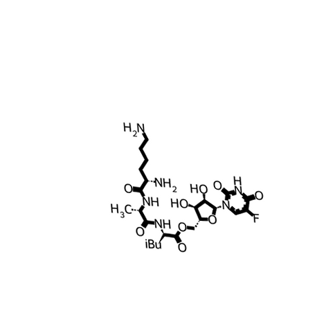 CC[C@H](C)[C@H](NC(=O)[C@H](C)NC(=O)[C@@H](N)CCCCN)C(=O)OC[C@H]1O[C@@H](n2cc(F)c(=O)[nH]c2=O)[C@H](O)[C@@H]1O